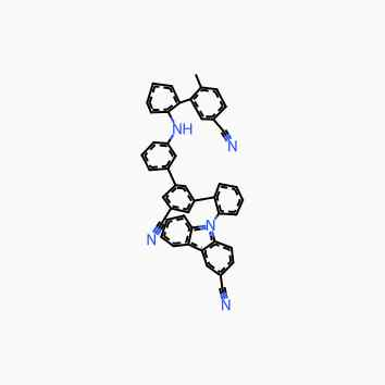 Cc1ccc(C#N)cc1-c1ccccc1Nc1cccc(-c2cc(C#N)cc(-c3ccccc3-n3c4ccccc4c4cc(C#N)ccc43)c2)c1